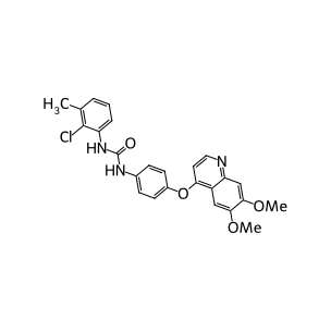 COc1cc2nccc(Oc3ccc(NC(=O)Nc4cccc(C)c4Cl)cc3)c2cc1OC